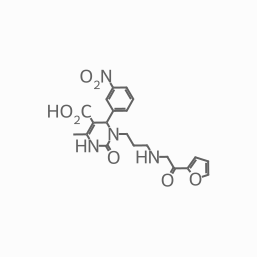 CC1=C(C(=O)O)C(c2cccc([N+](=O)[O-])c2)N(CCCNCC(=O)c2ccco2)C(=O)N1